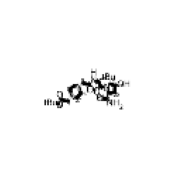 CC(C)(C)OC(=O)CN1CCN(CC(=O)N[C@H](C(=O)N2C[C@H](O)C[C@H]2C(N)=O)C(C)(C)C)CC1